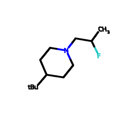 CC(F)CN1CCC(C(C)(C)C)CC1